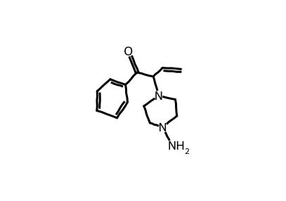 C=CC(C(=O)c1ccccc1)N1CCN(N)CC1